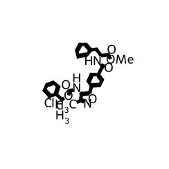 COC(=O)C(Cc1ccccc1)NC(=O)c1ccc(-c2onc(C)c2NC(=O)OC(C)c2ccccc2Cl)cc1